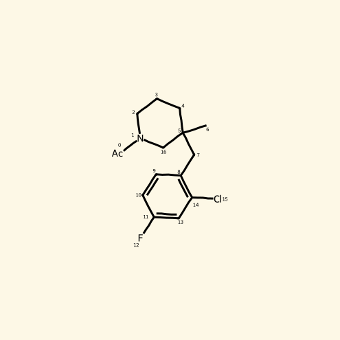 CC(=O)N1CCCC(C)(Cc2ccc(F)cc2Cl)C1